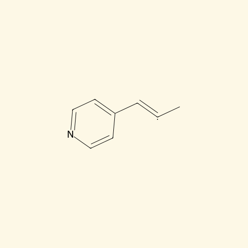 C[C]=Cc1ccncc1